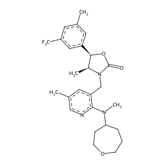 Cc1cc([C@H]2OC(=O)N(Cc3cc(C)cnc3N(C)C3CCCOCC3)[C@H]2C)cc(C(F)(F)F)c1